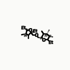 CCC1O[C@H](COC[C@]2(CC)O[C@H](CC)[C@H](C)C2C)C(C)[C@H](C)[C@@H]1C